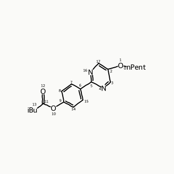 CCCCCOc1cnc(-c2ccc(OC(=O)C(C)CC)cc2)nc1